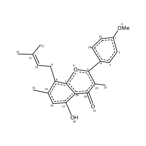 COc1ccc(-c2oc3c(CC=C(C)C)c(C)cc(O)c3c(=O)c2C)cc1